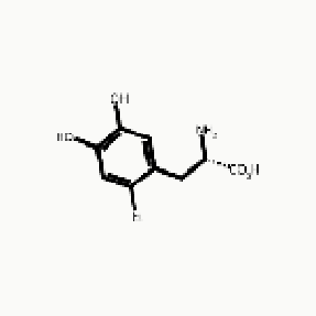 CCc1cc(O)c(O)cc1C[C@H](N)C(=O)O